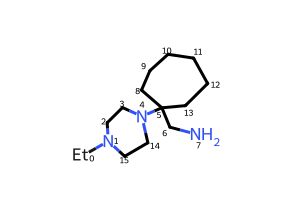 CCN1CCN(C2(CN)CCCCCC2)CC1